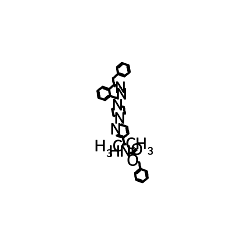 CC(C)(NC(=O)OCc1ccccc1)c1ccc(N2CCN(c3nnc(Cc4ccccc4)c4ccccc34)CC2)nc1